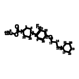 CC(C)(C)OC(=O)N1CCN(c2ccc(OCCCN3CCCCC3)cc2F)CC1